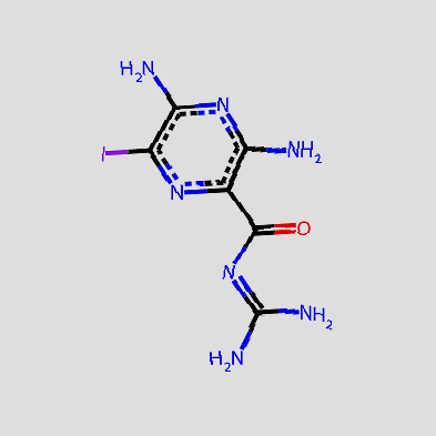 NC(N)=NC(=O)c1nc(I)c(N)nc1N